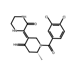 C[C@@H]1CC(=N)/C(=C2\NCCNC2=O)CN1C(=O)c1ccc(Cl)c(Cl)c1